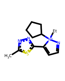 CC[N+]1(C2CCCC2)N=CC=C1c1nnc(C)s1